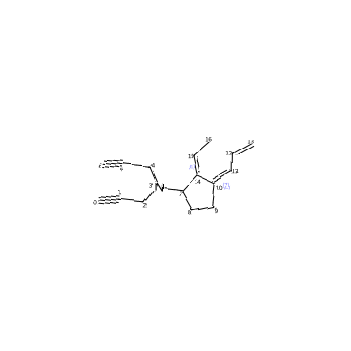 C#CCN(CC#C)C1CCC(=C/C=C)/C1=C\C